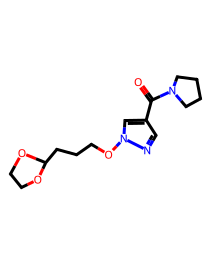 O=C(c1cnn(OCCCC2OCCO2)c1)N1CCCC1